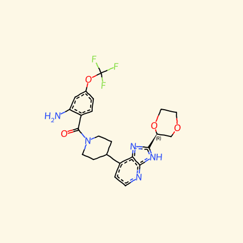 Nc1cc(OC(F)(F)F)ccc1C(=O)N1CCC(c2ccnc3[nH]c([C@@H]4COCCO4)nc23)CC1